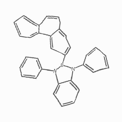 c1ccc(N2B(c3ccc4ccc5ccccc5c4c3)N(c3ccccc3)c3ccccc32)cc1